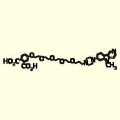 Cn1c2ccncc2c2ccc(N3CCN(CCCOCCOCCOCCOCCOc4ccc(C(=O)O)c(C(=O)O)c4)CC3)cc21